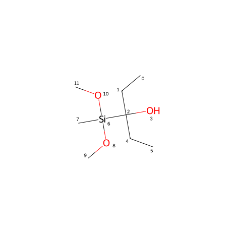 CCC(O)(CC)[Si](C)(OC)OC